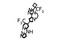 Cn1nccc1Nc1cc(-c2cc3n(c2)CCCn2c-3nnc2C2(C(F)(F)F)CCC2)c(C(F)(F)F)cn1